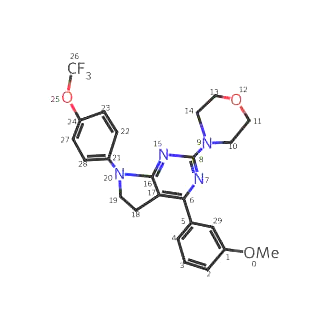 COc1cccc(-c2nc(N3CCOCC3)nc3c2CCN3c2ccc(OC(F)(F)F)cc2)c1